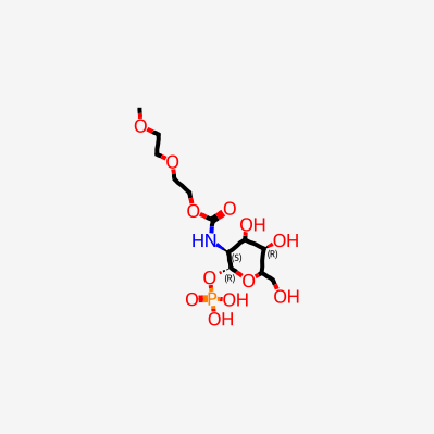 COCCOCCOC(=O)N[C@H]1C(O)[C@@H](O)C(CO)O[C@@H]1OP(=O)(O)O